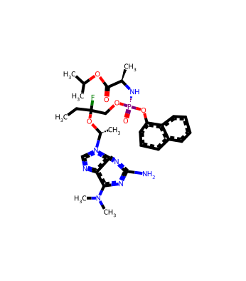 CCC(F)(CO[P@@](=O)(N[C@H](C)C(=O)OC(C)C)Oc1cccc2ccccc12)O[C@H](C)n1cnc2c(N(C)C)nc(N)nc21